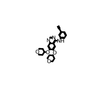 C#Cc1cccc(Nc2ncnc3cc(OC4CCOCC4)c(OC4CCOCC4)cc23)c1